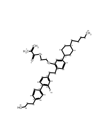 C=C(C)C(=O)OCCOc1cc(C2CCC(CCCCC)CC2)ccc1CCc1ccc(-c2ccc(CCCO)cc2)c(F)c1